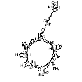 CC[C@@H]1NC(=O)[C@H](Cc2c[nH]cn2)NC(=O)[C@H](Cc2cscn2)NC(=O)[C@H]2CCCN2C(=O)[C@@H](NC(=O)CCOCCNC(=O)CCCC[C@@H]2SC[C@@H]3NC(=O)N[C@@H]32)CCCNC(=O)[C@H](Cc2cccnc2)NC(=O)[C@H](CC2CC2)NC(=O)[C@H](CCSC)NC(=O)[C@H](CCC(=O)O)NC(=O)CNC1=O